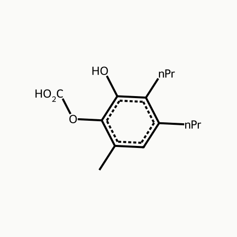 CCCc1cc(C)c(OC(=O)O)c(O)c1CCC